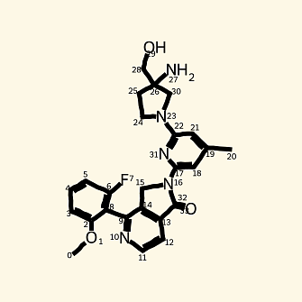 COc1cccc(F)c1-c1nccc2c1CN(c1cc(C)cc(N3CCC(N)(CO)C3)n1)C2=O